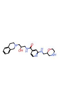 O=C(NCC(O)CN1CCc2ccccc2C1)c1ccnc(NCC2CNCCO2)c1